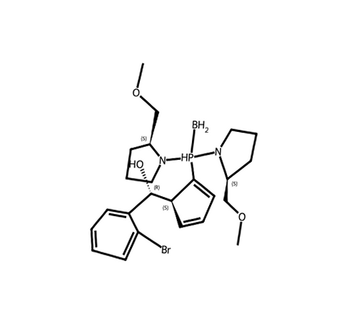 B[PH](C1=CC=C[C@H]1[C@@H](O)c1ccccc1Br)(N1CCC[C@H]1COC)N1CCC[C@H]1COC